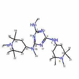 CNc1nc(NC2CC(C)(C)N(C)C(C)(C)C2)nc(N(C)C2CC(C)(C)N(C)C(C)(C)C2)n1